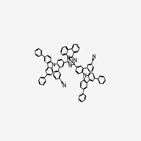 N#Cc1cccc(-c2cc(-c3nc(-c4ccc(-n5c6ccc(-c7ccccc7)cc6c6cc(-c7ccccc7)ccc65)c(-c5cccc(C#N)c5)c4)nc(-c4ccccc4-c4ccccc4C#N)n3)ccc2-n2c3ccc(-c4ccccc4)cc3c3cc(-c4ccccc4)ccc32)c1